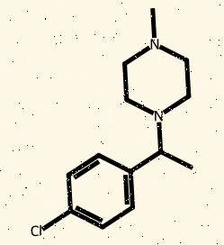 CC(c1ccc(Cl)cc1)N1CCN(C)CC1